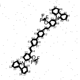 FC(F)(F)Oc1cc(-n2c3ccccc3c3ccccc32)ccc1C=Cc1ccc(-c2ccc(C=Cc3ccc(-n4c5ccccc5c5ccccc54)cc3OC(F)(F)F)cc2)cc1